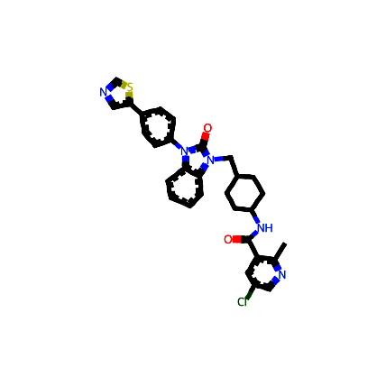 Cc1ncc(Cl)cc1C(=O)NC1CCC(Cn2c(=O)n(-c3ccc(-c4cncs4)cc3)c3ccccc32)CC1